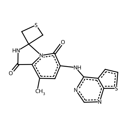 Cc1cc(Nc2ncnc3sccc23)c(=O)n2c1C(=O)NC21CSC1